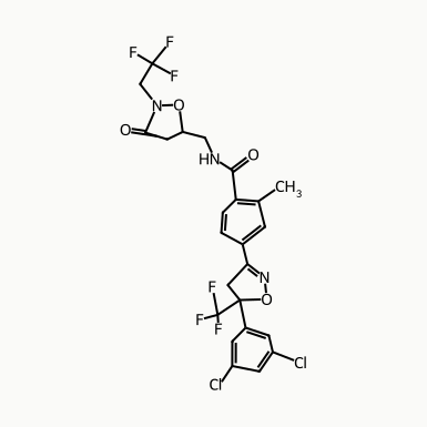 Cc1cc(C2=NOC(c3cc(Cl)cc(Cl)c3)(C(F)(F)F)C2)ccc1C(=O)NCC1CC(=O)N(CC(F)(F)F)O1